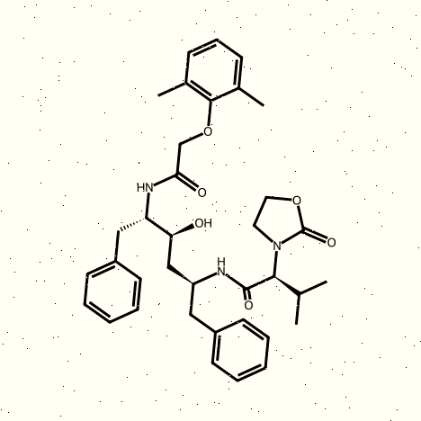 Cc1cccc(C)c1OCC(=O)N[C@@H](Cc1ccccc1)[C@@H](O)C[C@H](Cc1ccccc1)NC(=O)[C@H](C(C)C)N1CCOC1=O